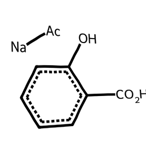 C[C](=O)[Na].O=C(O)c1ccccc1O